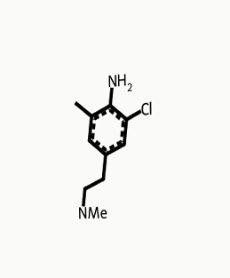 CNCCc1cc(C)c(N)c(Cl)c1